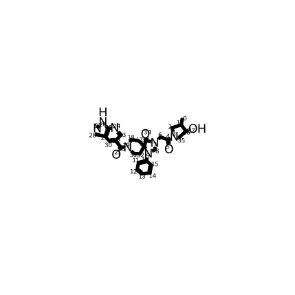 CC1CN(C(=O)CN2CN(c3ccccc3)C3(CCN(C(=O)c4cnc5[nH]ncc5c4)CC3)C2=O)CC1O